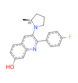 C[C@H]1CCCN1c1cc2ccc(O)cc2nc1-c1ccc(F)cc1